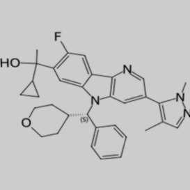 Cc1cnn(C)c1-c1cnc2c3cc(F)c(C(C)(O)C4CC4)cc3n([C@H](c3ccccc3)C3CCOCC3)c2c1